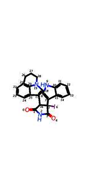 O=C1NC(=O)[C@@](I)(c2c[nH]c3ccccc23)C1c1cn2c3c(cccc13)CCC2